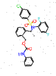 C[C@H](c1ccccc1COC(=O)Nc1ccccc1)N(c1cc(F)ccc1F)S(=O)(=O)c1ccc(Cl)cc1